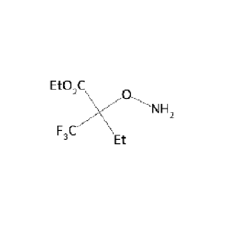 CCOC(=O)C(CC)(ON)C(F)(F)F